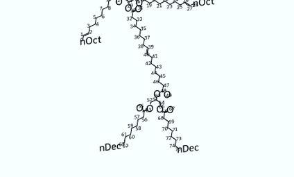 CCCCCCCCC=CCCCCCCCC(=O)OCC(COC(=O)CCCCCCCC=CCCCCCCCC)OC(=O)CCCCCCCC=CCCCCCCCC(=O)OC(COC(=O)CCCCCCCCCCCCCCCCC)COC(=O)CCCCCCCCCCCCCCCCC